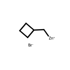 [Br-].[Zn+][CH2]C1CCC1